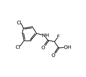 O=C(O)C(F)C(=O)Nc1cc(Cl)cc(Cl)c1